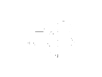 CC(n1cnc2cnc3ccccc3c21)C1(O)CC=CC1